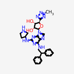 Cn1nnc([C@H]2O[C@@H](n3cnc4c(NCC(c5ccccc5)c5ccccc5)nc(NC5CCNC5)nc43)[C@H](O)[C@@H]2O)n1